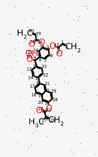 C=CC(=O)Oc1ccc(C(OO)c2ccc(-c3ccc4cc(OC(=O)C(=C)C)ccc4c3)cc2)cc1OC(=O)C=C